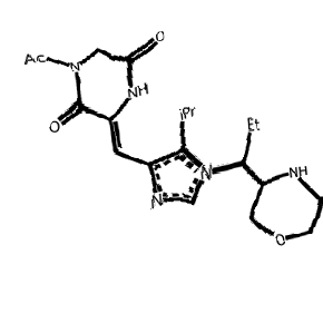 CCC(C1COCCN1)n1cnc(C=C2NC(=O)CN(C(C)=O)C2=O)c1C(C)C